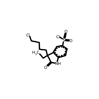 CCC1(CCCCCl)C(=O)Nc2ccc(S(=O)(=O)Cl)cc21